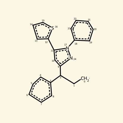 [CH2]CC(c1ccccc1)c1cc(-c2cccs2)n(-c2ccccc2)n1